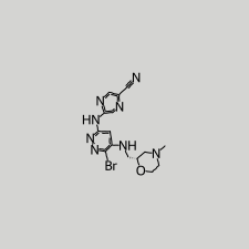 CN1CCO[C@H](CNc2cc(Nc3cnc(C#N)cn3)nnc2Br)C1